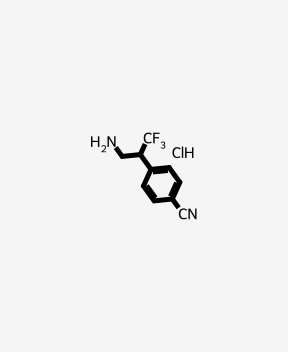 Cl.N#Cc1ccc(C(CN)C(F)(F)F)cc1